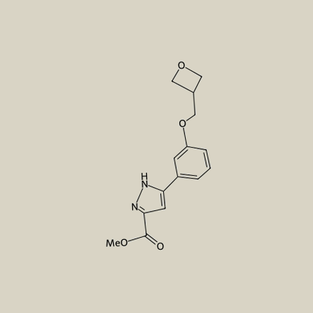 COC(=O)c1cc(-c2cccc(OCC3COC3)c2)[nH]n1